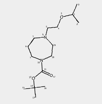 CC(C)OCCN1CCCN(C(=O)OC(C)(C)C)CC1